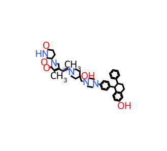 CC1=C(/C=C(\C)N2CCC(O)(CN3CCN(c4ccc(C5c6ccc(O)cc6CCC5c5ccccc5)cc4)CC3)CC2)CN(C2CCC(=O)NC2=O)C1=O